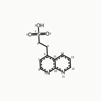 O=S(=O)(O)CCc1ccnc2ncccc12